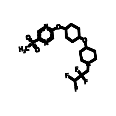 CS(=O)(=O)c1cnc(OC2CCC(OC3CCN(CC(F)(F)C(F)F)CC3)CC2)cn1